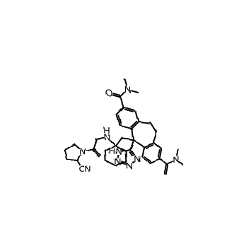 C=C(c1ccc2c(c1)CCc1cc(C(=O)N(C)C)ccc1C2(CC1(NCC(=C)N2CCCC2C#N)CCCCC1)c1nnn[nH]1)N(C)C